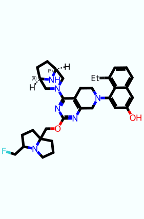 CCc1cccc2cc(O)cc(N3CCc4c(nc(OCC56CCCN5C(CF)CC6)nc4N4C[C@H]5CC[C@@H](C4)N5)C3)c12